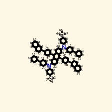 C[Si](C)(C)c1ccc(N(c2ccc(-c3ccccc3)cc2)c2ccc3c(-c4ccc(-c5ccc6ccccc6c5)cc4)c4cc(N(c5ccc(-c6ccccc6)cc5)c5ccc([Si](C)(C)C)cc5)ccc4c(-c4ccc(-c5ccc6ccccc6c5)cc4)c3c2)cc1